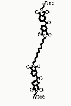 CCCCCCCCCCCCN1C(=O)c2ccc(C(=O)c3ccc4c(c3)C(=O)N(CCCCCCCCCCCCN3C(=O)c5ccc(C(=O)c6ccc7c(c6)C(=O)N(CCCCCCCCCCCC)C7=O)cc5C3=O)C4=O)cc2C1=O